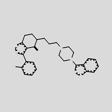 O=C1c2c(-c3ccccc3F)noc2CCC1CCCN1CCN(c2nsc3ccccc23)CC1